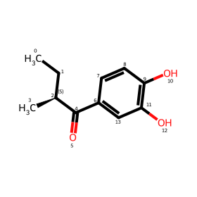 CC[C@H](C)C(=O)c1ccc(O)c(O)c1